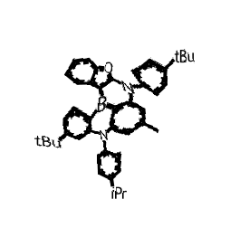 Cc1cc2c3c(c1)N(c1ccc(C(C)(C)C)cc1)c1oc4ccccc4c1B3c1ccc(C(C)(C)C)cc1N2c1ccc(C(C)C)cc1